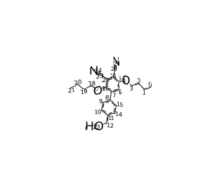 CCCCOc1cc(-c2ccc(CO)cc2)c(OCCCC)c(C#N)c1C#N